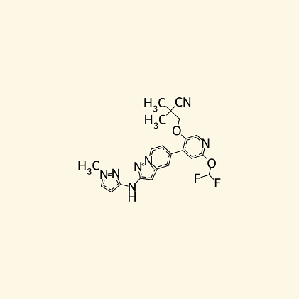 Cn1ccc(Nc2cc3cc(-c4cc(OC(F)F)ncc4OCC(C)(C)C#N)ccn3n2)n1